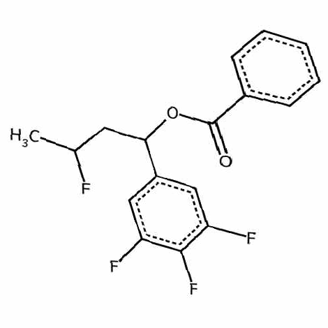 CC(F)CC(OC(=O)c1ccccc1)c1cc(F)c(F)c(F)c1